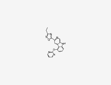 CCc1noc(-c2cc3c(cn2)[nH]c2cccc(Oc4ncccn4)c23)n1